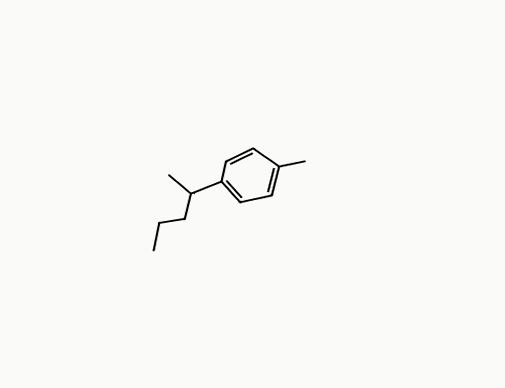 CCC[C](C)c1ccc(C)cc1